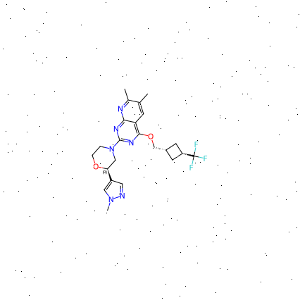 Cc1cc2c(OC[C@H]3C[C@H](C(F)(F)F)C3)nc(N3CCO[C@H](c4cnn(C)c4)C3)nc2nc1C